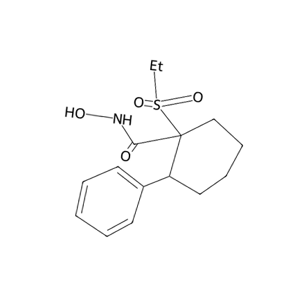 CCS(=O)(=O)C1(C(=O)NO)CCCCC1c1ccccc1